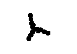 CC1(C)c2cc(-c3ccc(-c4ccccc4)cc3)ccc2-c2ccc(N(c3ccc(-c4ccc(-c5ccccc5)cc4)cc3)c3ccc4c(c3)C(C)(C)c3cc(-c5ccc(-c6ccccc6)cc5)ccc3-4)cc21